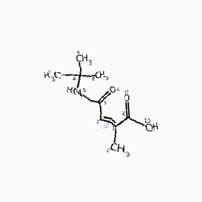 C/C(=C/C(=O)NC(C)(C)C)C(=O)O